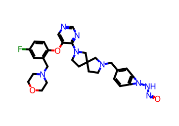 O=NNN1c2ccc(CN3CCC4(CCN(c5ncncc5Oc5ccc(F)cc5CN5CCOCC5)C4)C3)cc21